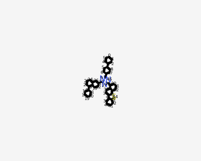 c1ccc(-c2ccc(-c3nc(-c4ccc5c(-c6ccccc6)cccc5c4)nc(-c4cccc5c4ccc4c6ccccc6sc54)n3)cc2)cc1